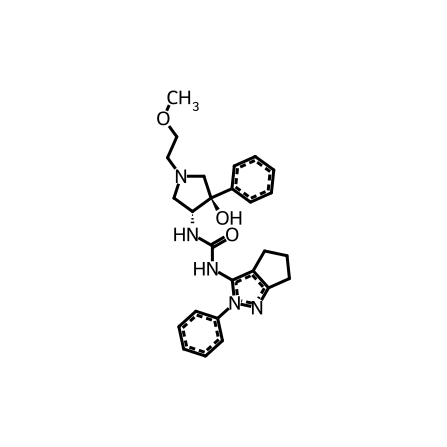 COCCN1C[C@@H](NC(=O)Nc2c3c(nn2-c2ccccc2)CCC3)[C@@](O)(c2ccccc2)C1